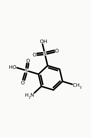 Cc1cc(N)c(S(=O)(=O)O)c(S(=O)(=O)O)c1